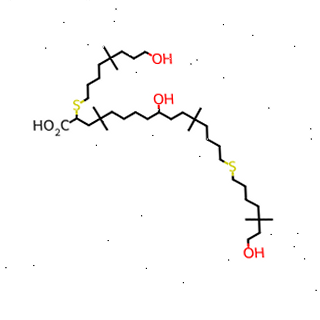 CC(C)(CCO)CCCCSCCCCC(C)(C)CCC(O)CCCCC(C)(C)CC(SCCCCC(C)(C)CCCO)C(=O)O